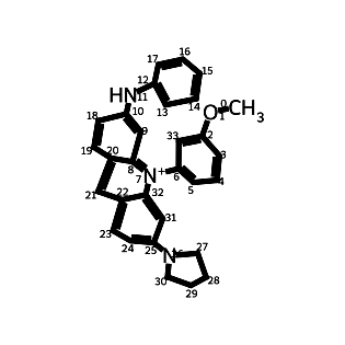 COc1cccc(-[n+]2c3cc(Nc4ccccc4)ccc3cc3ccc(N4CCCC4)cc32)c1